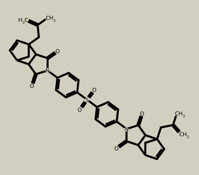 C=C(C)CC12C=CC(C1)C1C(=O)N(c3ccc(S(=O)(=O)c4ccc(N5C(=O)C6C7C=CC(CC(=C)C)(C7)C6C5=O)cc4)cc3)C(=O)C12